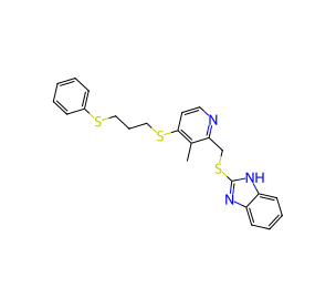 Cc1c(SCCCSc2ccccc2)ccnc1CSc1nc2ccccc2[nH]1